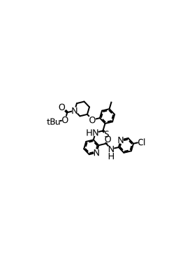 Cc1ccc(C(=S)Nc2cccnc2C(=O)Nc2ccc(Cl)cn2)c(OC2CCCN(C(=O)OC(C)(C)C)C2)c1